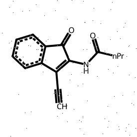 C#CC1=C(NC(=O)CCC)C(=O)c2ccccc21